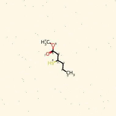 CCCC(S)CC(=O)OC